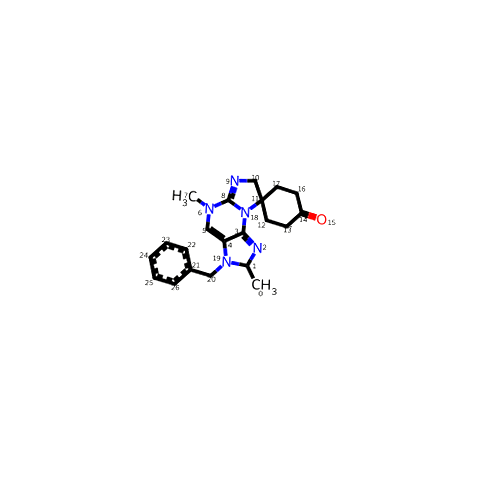 CC1N=C2C(=CN(C)C3=NCC4(C[CH]C(=O)CC4)N23)N1Cc1ccccc1